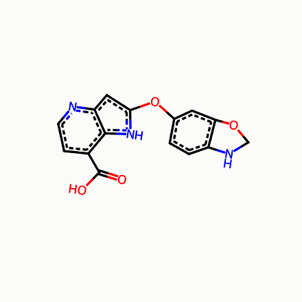 O=C(O)c1ccnc2cc(Oc3ccc4c(c3)OCN4)[nH]c12